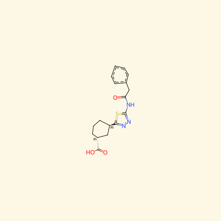 O=C(Cc1ccccc1)Nc1nnc([C@@H]2CCC[C@@H](C(=O)O)C2)s1